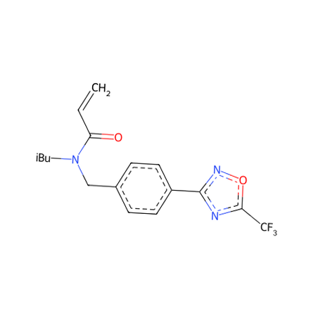 C=CC(=O)N(Cc1ccc(-c2noc(C(F)(F)F)n2)cc1)C(C)CC